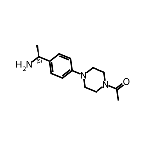 CC(=O)N1CCN(c2ccc([C@H](C)N)cc2)CC1